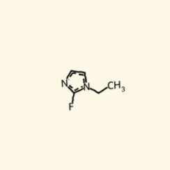 CCn1ccnc1F